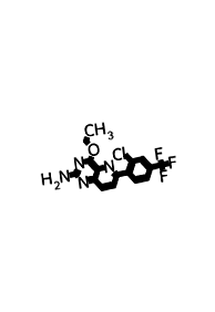 CCOc1nc(N)nc2ccc(-c3ccc(C(F)(F)F)cc3Cl)nc12